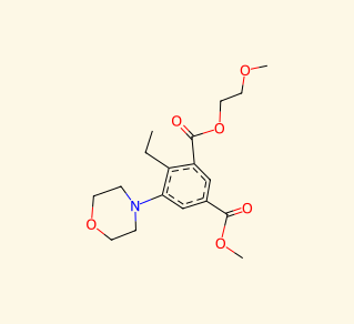 CCc1c(C(=O)OCCOC)cc(C(=O)OC)cc1N1CCOCC1